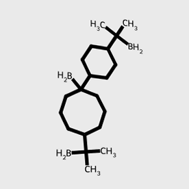 BC(C)(C)C1CCCC(B)(C2CCC(C(B)(C)C)CC2)CCC1